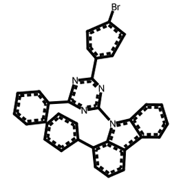 Brc1ccc(-c2nc(-c3ccccc3)nc(-n3c4ccccc4c4cccc(-c5ccccc5)c43)n2)cc1